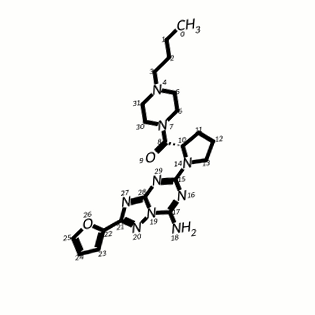 CCCCN1CCN(C(=O)[C@@H]2CCCN2c2nc(N)n3nc(-c4ccco4)nc3n2)CC1